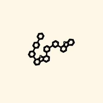 c1ccc(-c2ccc(-c3cccc(-c4cccc5c4oc4c(-c6cccc(-c7cccc(-c8cccc9c8oc8ccccc89)c7)c6)cccc45)c3)cc2)cc1